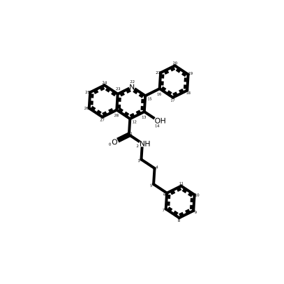 O=C(NCCCc1ccccc1)c1c(O)c(-c2ccccc2)nc2ccccc12